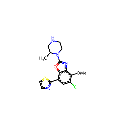 COc1c(Cl)cc(-c2nccs2)c2oc(N3CCNC[C@@H]3C)nc12